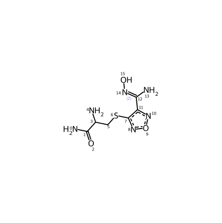 NC(=O)C(N)CSc1nonc1/C(N)=N/O